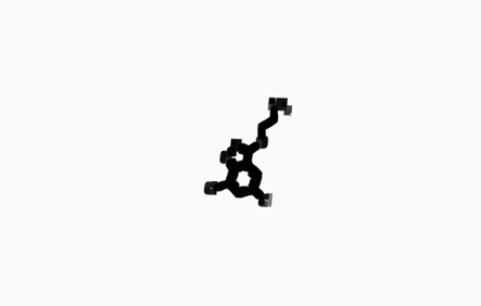 NCCOc1noc2c(Cl)cc(Cl)cc12